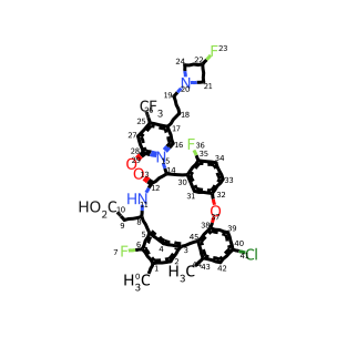 Cc1cc2cc(c1F)C(CC(=O)O)NC(=O)C(n1cc(CCN3CC(F)C3)c(C(F)(F)F)cc1=O)c1cc(ccc1F)Oc1cc(Cl)cc(C)c1-2